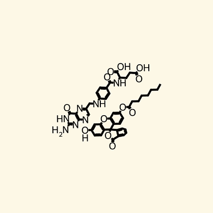 CCCCCCCC(=O)Oc1ccc2c(c1)Oc1cc(O)ccc1C21OC(=O)c2ccccc21.Nc1nc2ncc(CNc3ccc(C(=O)NC(CCC(=O)O)C(=O)O)cc3)nc2c(=O)[nH]1